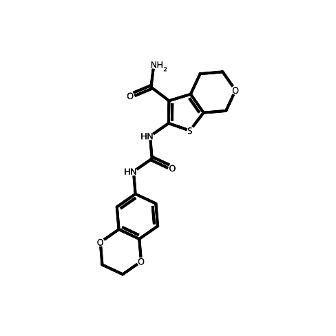 NC(=O)c1c(NC(=O)Nc2ccc3c(c2)OCCO3)sc2c1CCOC2